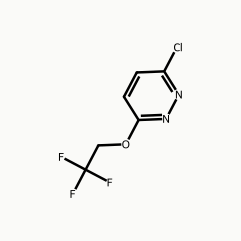 FC(F)(F)COc1ccc(Cl)nn1